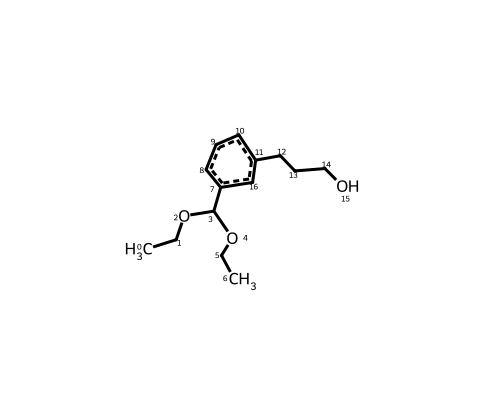 CCOC(OCC)c1cccc(CCCO)c1